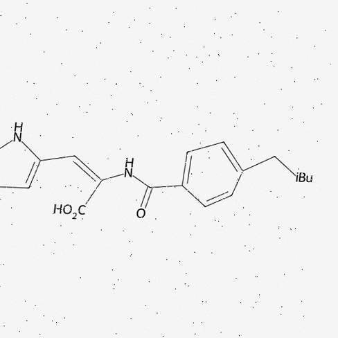 CCC(C)Cc1ccc(C(=O)N/C(=C/c2ccc[nH]2)C(=O)O)cc1